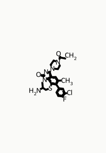 C=CC(=O)N1CCN(c2nc(=O)n3c4c(c(-c5ccc(F)c(Cl)c5)c(C)cc24)SCC(N)C3)CC1